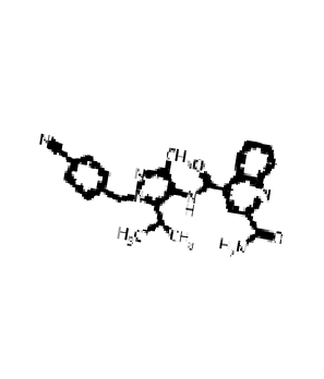 Cc1nn(Cc2ccc(C#N)cc2)c(C(C)C)c1NC(=O)c1cc(C(N)=O)nc2ccccc12